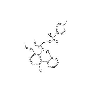 C=C[C@@H](COS(=O)(=O)c1ccc(C)cc1)Oc1c(C=CC)ccc(Cl)c1-c1ccccc1Cl